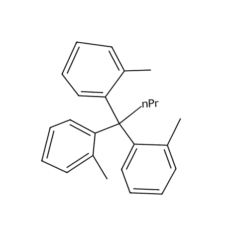 [CH2]CCC(c1ccccc1C)(c1ccccc1C)c1ccccc1C